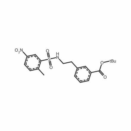 Cc1ccc([N+](=O)[O-])cc1S(=O)(=O)NCCc1cccc(C(=O)OC(C)(C)C)c1